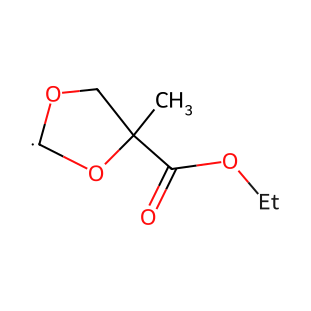 CCOC(=O)C1(C)CO[CH]O1